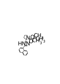 CC(C)(C)OC(=O)N1CCC[C@@H]1c1ncc(-c2cccc3ccccc23)[nH]1